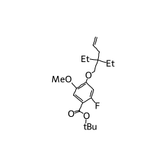 C=CCC(CC)(CC)COc1cc(F)c(C(=O)OC(C)(C)C)cc1OC